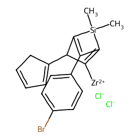 C[Si]1(C)C2=[C]([Zr+2])C(C3=CC=CC3)C1=C2c1ccc(Br)cc1.[Cl-].[Cl-]